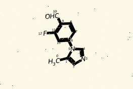 Cc1cncn1-c1ccc(C=O)c(F)c1